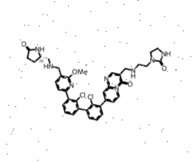 COc1nc(-c2cccc(-c3cccc(-c4ccn5c(=O)c(CNCCN6CCNC6=O)cnc5c4)c3Cl)c2Cl)ccc1CNC[C@@H]1CCC(=O)N1